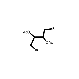 CC(=O)OC(CBr)C(CBr)OC(C)=O